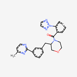 Cc1ccnc(-c2cccc(CC3COCCN3C(=O)c3ccccc3-n3nccn3)c2)n1